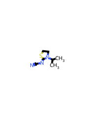 CC(C)N1CCS/C1=N\C#N